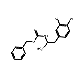 O=C(NC(Cc1ccc(Cl)c(Cl)c1)C(=O)O)OCc1ccccc1